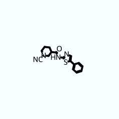 N#CN1CCCC(C(=O)Nc2ncc(-c3ccccc3)s2)C1